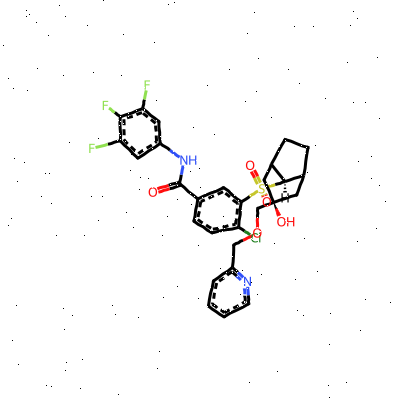 O=C(Nc1cc(F)c(F)c(F)c1)c1ccc(Cl)c(S(=O)(=O)[C@H]2C3CCC2C[C@](O)(COCc2ccccn2)C3)c1